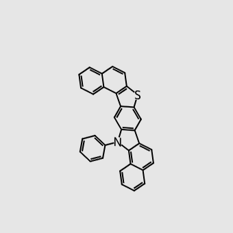 c1ccc(-n2c3cc4c(cc3c3ccc5ccccc5c32)sc2ccc3ccccc3c24)cc1